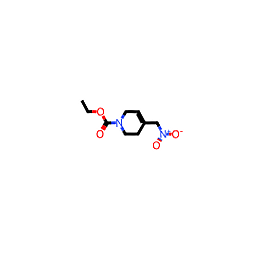 CCOC(=O)N1CC=C(C[N+](=O)[O-])CC1